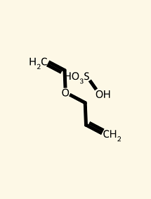 C=CCOC=C.O=S(=O)(O)O